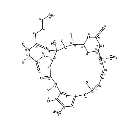 COc1cc2cc(c1Cl)N(C)C(=O)C[C@H](OC(=O)[C@H](C)N(C)C(=O)CCSSC)C(C)(O)C(C)[C@H](C)C1C[C@@](O)(NC(=O)O1)[C@H](OC)/C=C/C=C(\C)C2